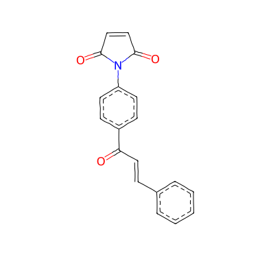 O=C(C=Cc1ccccc1)c1ccc(N2C(=O)C=CC2=O)cc1